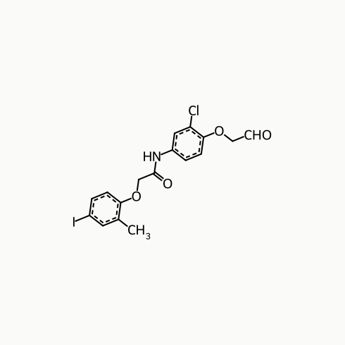 Cc1cc(I)ccc1OCC(=O)Nc1ccc(OCC=O)c(Cl)c1